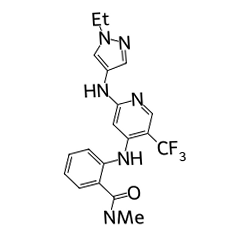 CCn1cc(Nc2cc(Nc3ccccc3C(=O)NC)c(C(F)(F)F)cn2)cn1